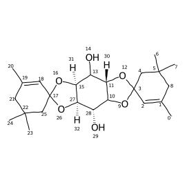 CC1=CC2(CC(C)(C)C1)OC1[C@@H](O2)C(O)[C@@H]2OC3(C=C(C)CC(C)(C)C3)O[C@@H]2[C@H]1O